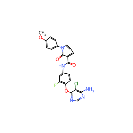 Nc1ncnc(Oc2ccc(NC(=O)c3cccn(-c4ccc(OC(F)(F)F)cc4)c3=O)cc2F)c1Cl